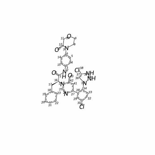 O=C(Nc1ccc(N2CCOCC2=O)cc1)[C@H](Cc1ccccc1)n1cnc(-c2cc(Cl)ccc2N2C=C(Cl)NN2)cc1=O